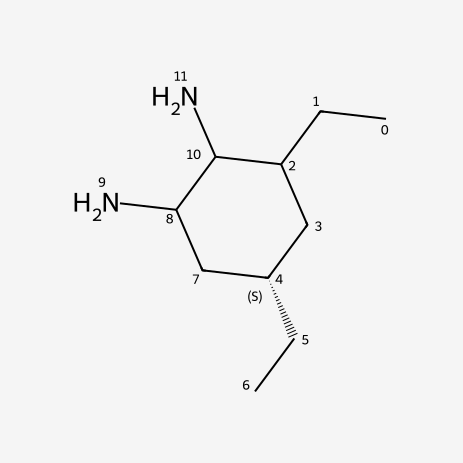 CCC1C[C@H](CC)CC(N)C1N